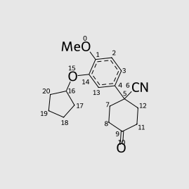 COc1ccc(C2(C#N)CCC(=O)CC2)cc1OC1CCCC1